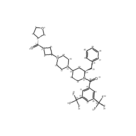 O=C([C@@H]1CCOC1)N1CC(N2CCN(C3CCN(C(=O)c4cc(C(F)(F)F)cc(C(F)(F)F)c4)[C@H](Cc4ccccc4)C3)CC2)C1